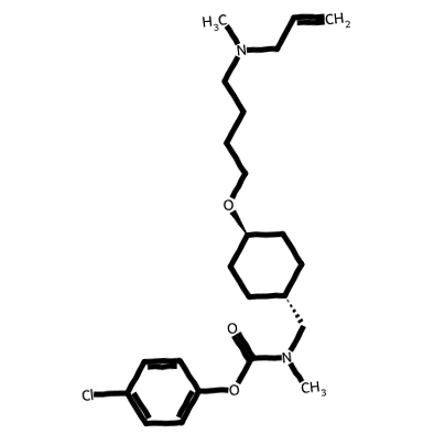 C=CCN(C)CCCCO[C@H]1CC[C@H](CN(C)C(=O)Oc2ccc(Cl)cc2)CC1